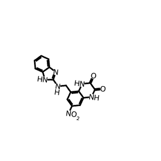 O=c1[nH]c2cc([N+](=O)[O-])cc(CNc3nc4ccccc4[nH]3)c2[nH]c1=O